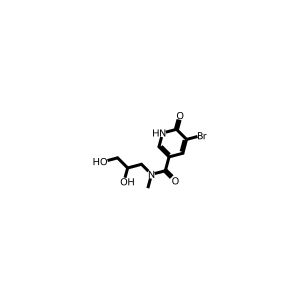 CN(CC(O)CO)C(=O)c1c[nH]c(=O)c(Br)c1